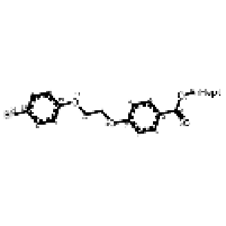 CCCCCCCOC(=O)c1ccc(OCCOc2ccc(Br)cc2)cc1